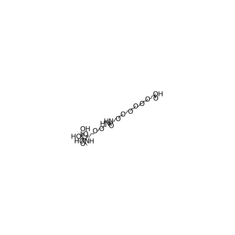 CC(=O)NC1[C@@H](O)[C@@H](O)[C@@H](CO)O[C@@H]1CCCOCCOCCNC(=O)NCCOCCOCCOCCOCCOCCOCCC(=O)O